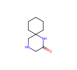 O=C1CNCC2(CCCCC2)N1